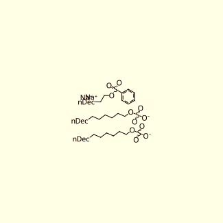 CCCCCCCCCCCCCCCCOS(=O)(=O)[O-].CCCCCCCCCCCCCCCCOS(=O)(=O)[O-].CCCCCCCCCCCCOS(=O)(=O)c1ccccc1.[Na+].[Na+]